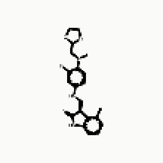 Cc1cccc2c1C(=CNc1ccc(N(C)CC3OCCO3)c(F)c1)C(=O)N2